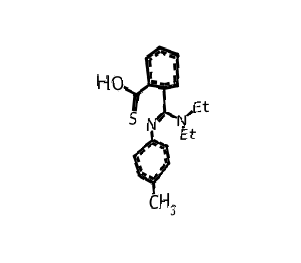 CCN(CC)C(=Nc1ccc(C)cc1)c1ccccc1C(O)=S